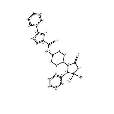 CC1(C)OC(=O)N(C2CCC(NC(=O)c3coc(-c4ccccc4)n3)CC2)C1c1ccccc1